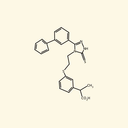 CC(C(=O)O)c1cccc(SCCn2c(-c3cccc(-c4ccccc4)c3)n[nH]c2=S)c1